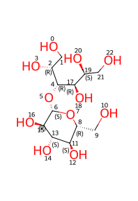 OC[C@@H](O)[C@@H](O[C@@H]1O[C@H](CO)[C@@H](O)[C@H](O)[C@H]1O)[C@H](O)[C@@H](O)CO